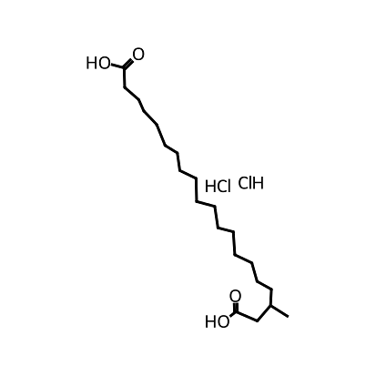 CC(CCCCCCCCCCCCCCCCC(=O)O)CC(=O)O.Cl.Cl